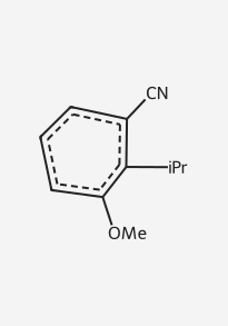 COc1cccc(C#N)c1C(C)C